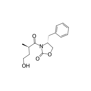 C[C@H](CCO)C(=O)N1C(=O)OC[C@H]1Cc1ccccc1